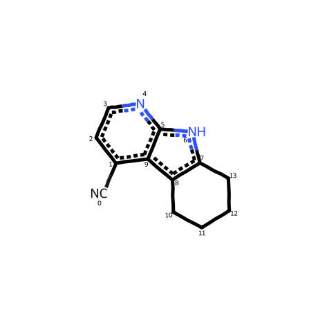 N#Cc1ccnc2[nH]c3c(c12)CCCC3